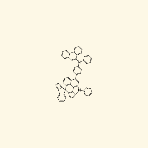 c1ccc(N(c2ccc(-c3cc4c5c6c(cccc36)C3(c6ccccc6-c6ccccc63)c3cccc(c35)n4-c3ccccc3)cc2)c2cc3ccccc3c3ccccc23)cc1